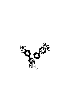 CS(=O)(=O)N1CCN(c2ccc(-n3nc(N)cc3-c3ccc(C#N)c(F)c3)cc2)CC1